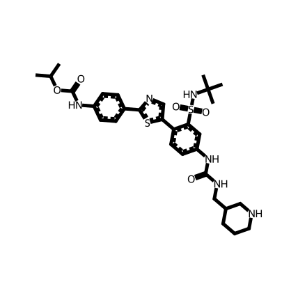 CC(C)OC(=O)Nc1ccc(-c2ncc(-c3ccc(NC(=O)NCC4CCCNC4)cc3S(=O)(=O)NC(C)(C)C)s2)cc1